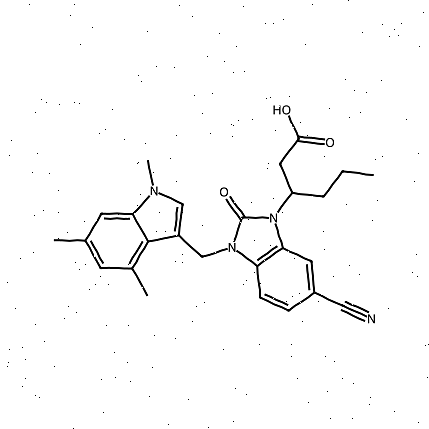 CCCC(CC(=O)O)n1c(=O)n(Cc2cn(C)c3cc(C)cc(C)c23)c2ccc(C#N)cc21